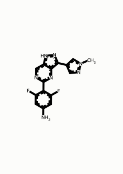 Cn1cc(-c2n[nH]c3cnc(-c4c(F)cc(N)cc4F)nc23)cn1